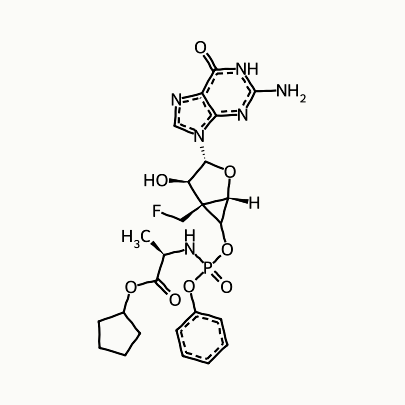 C[C@@H](NP(=O)(Oc1ccccc1)OC1[C@H]2O[C@@H](n3cnc4c(=O)[nH]c(N)nc43)[C@H](O)[C@@]12CF)C(=O)OC1CCCC1